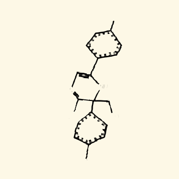 O=C(O)C1=NC=C(c2ccc(Cl)cc2)NC1(CO)c1ccc(Cl)cc1